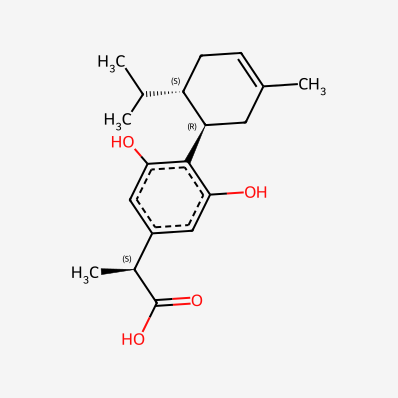 CC1=CC[C@@H](C(C)C)[C@H](c2c(O)cc([C@H](C)C(=O)O)cc2O)C1